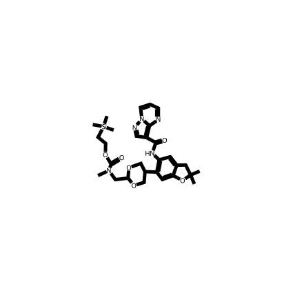 CN(CC1OCC(c2cc3c(cc2NC(=O)c2cnn4cccnc24)CC(C)(C)O3)CO1)C(=O)OCC[Si](C)(C)C